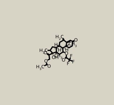 C=C1C[C@@H]2[C@H](C(OC(=O)C(F)(F)F)C[C@@]3(C)[C@H]2CC(C)[C@]3(O)C(=O)COC(C)=O)[C@@]2(C)CCC(=O)C=C12